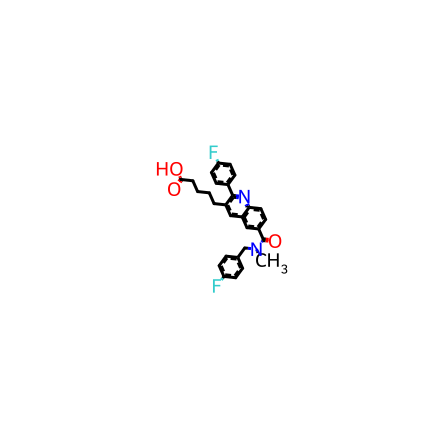 CN(Cc1ccc(F)cc1)C(=O)c1ccc2nc(-c3ccc(F)cc3)c(CCCCC(=O)O)cc2c1